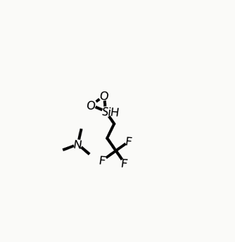 CN(C)C.FC(F)(F)CC[SiH]1OO1